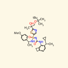 COc1ccc(C(C)NS(=O)(=NC(=O)Nc2c(C(C)C3CC3)ccc3c2CC3)c2cnc(C(C)(O)CO[Si](C)(C)C(C)(C)C)s2)cc1